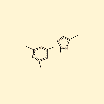 Cc1cc(C)nc(C)c1.Cc1cc[nH]n1